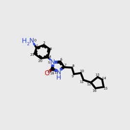 Nc1ccc(-n2cc(CCCCC3CCCC3)[nH]c2=O)cc1